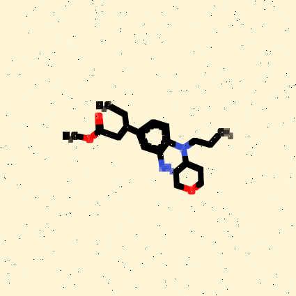 CCCN(c1ccc(C(CC)CC(=O)OC)cc1N)C1CCOCC1